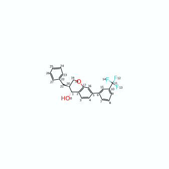 O[C@H]1c2ccc(-c3cccc(C(F)(F)F)c3)cc2OC[C@@H]1Cc1ccccc1